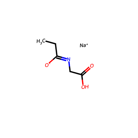 CCC([O-])=NCC(=O)O.[Na+]